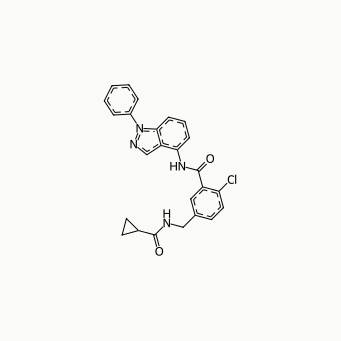 O=C(Nc1cccc2c1cnn2-c1ccccc1)c1cc(CNC(=O)C2CC2)ccc1Cl